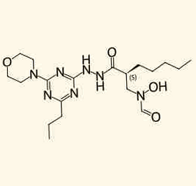 CCCCC[C@@H](CN(O)C=O)C(=O)NNc1nc(CCC)nc(N2CCOCC2)n1